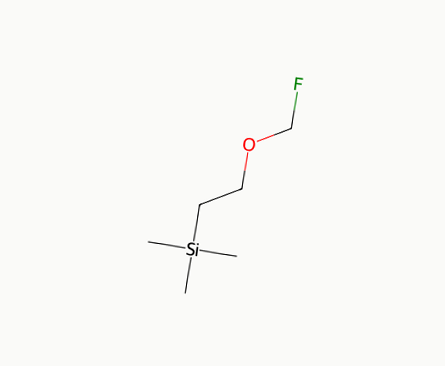 C[Si](C)(C)CCOCF